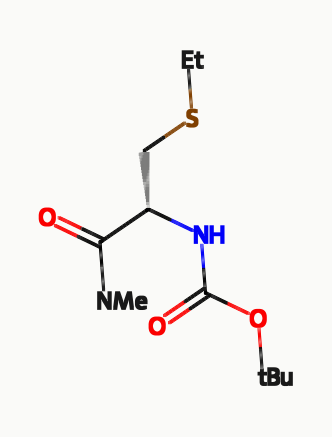 CCSC[C@H](NC(=O)OC(C)(C)C)C(=O)NC